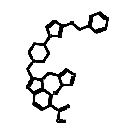 CCn1cncc1Cn1c(CN2CCC(n3ccc(OCc4ccncc4)n3)CC2)nc2ccc(C(=O)OC)cc21